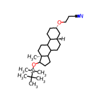 CC(C)(C)[Si](C)(C)OC1CCC2C3CC[C@H]4C[C@@H](OCCC#N)CCC4C3CC[C@]12C